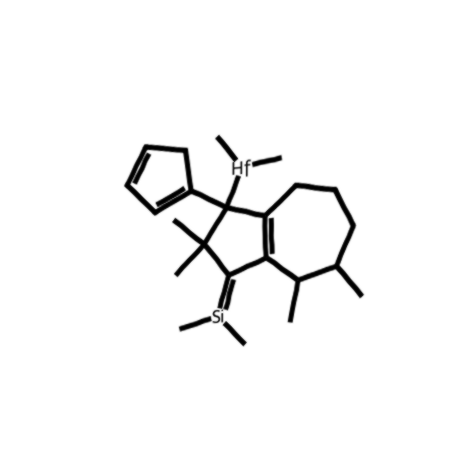 CC1CCCC2=C(C(=[Si](C)C)C(C)(C)[C]2(C2=CC=CC2)[Hf]([CH3])[CH3])C1C